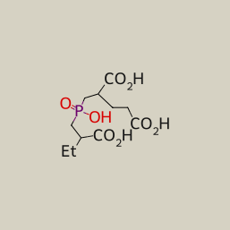 CCC(CP(=O)(O)CC(CCC(=O)O)C(=O)O)C(=O)O